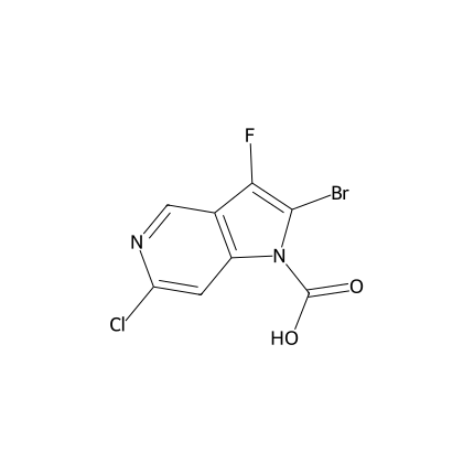 O=C(O)n1c(Br)c(F)c2cnc(Cl)cc21